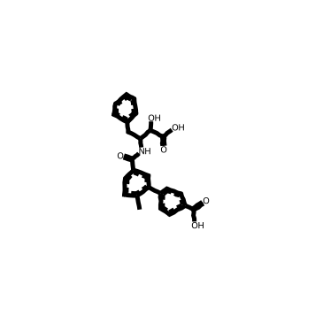 Cc1ccc(C(=O)NC(Cc2ccccc2)C(O)C(=O)O)cc1-c1ccc(C(=O)O)cc1